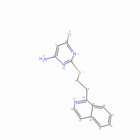 Nc1cc(Cl)nc(SCCc2nccc3ccccc23)n1